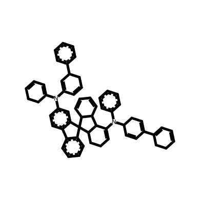 C1=CCCC(C2=CCC(N(C3=CCCC4C3C3C=CC=CC3C43c4ccccc4-c4ccc(N(C5=CC(c6ccccc6)CC=C5)C5=CC=CCC5)cc43)c3ccccc3)C=C2)=C1